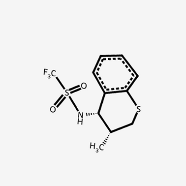 C[C@H]1CSc2ccccc2[C@H]1NS(=O)(=O)C(F)(F)F